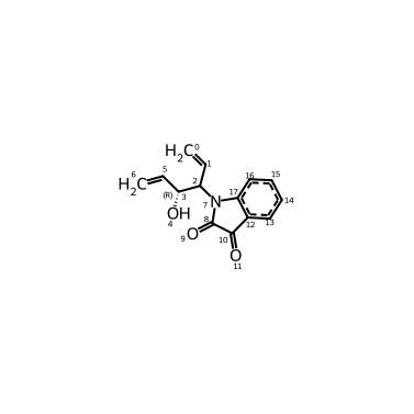 C=CC([C@H](O)C=C)N1C(=O)C(=O)c2ccccc21